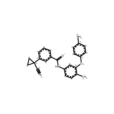 Cc1ccc(NC(=O)c2cccc(C3(C#N)CC3)c2)cc1Oc1ccc(N)cc1